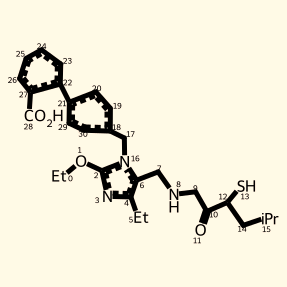 CCOc1nc(CC)c(CNCC(=O)C(S)CC(C)C)n1Cc1ccc(-c2ccccc2C(=O)O)cc1